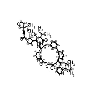 CCn1c(-c2cccnc2[C@H](C)OC)c2c3cc(ccc31)-c1cccc(c1)C[C@H](NC(=O)[C@H](C(C)C)N(C)C(=O)C1CCN(C(=O)C#C[C@]3(N(C)C)CCOC3)C1)C(=O)N1CCC[C@H](N1)C(=O)OCC(C)(C)C2